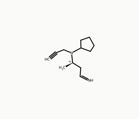 C#CCN(C1CCCC1)[C@H](C)CC=N